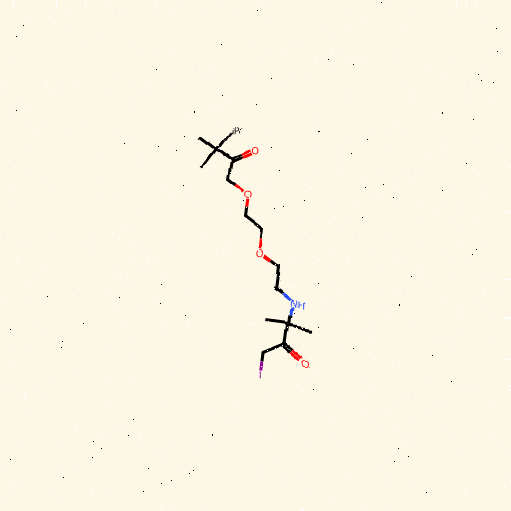 CC(C)C(C)(C)C(=O)COCCOCCNC(C)(C)C(=O)CI